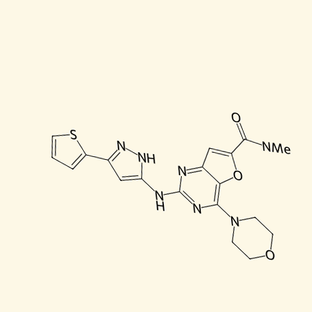 CNC(=O)c1cc2nc(Nc3cc(-c4cccs4)n[nH]3)nc(N3CCOCC3)c2o1